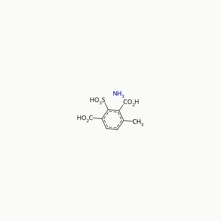 Cc1ccc(C(=O)O)c(S(=O)(=O)O)c1C(=O)O.N